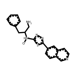 NCC(Cc1ccccc1)[NH+]([O-])c1nnc(-c2ccc3cnccc3c2)s1